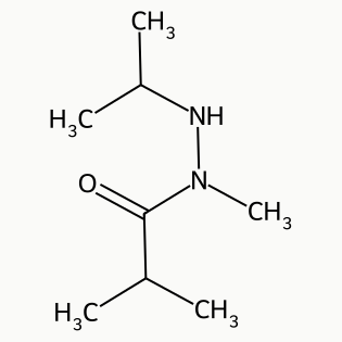 CC(C)NN(C)C(=O)C(C)C